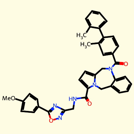 COc1ccc(-c2nc(CNC(=O)c3ccc4n3Cc3ccccc3N(C(=O)c3ccc(-c5ccccc5C)c(C)c3)C4)no2)cc1